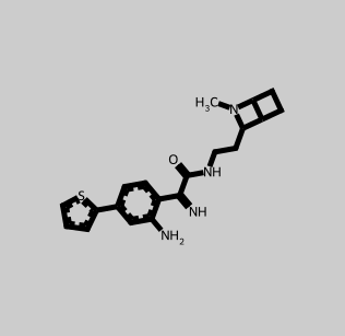 CN1C(CCNC(=O)C(=N)c2ccc(-c3cccs3)cc2N)C2CCC21